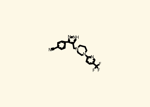 N#Cc1ccc(-c2n[nH]cc2CN2CCCN(c3ccc(C(F)(F)F)cn3)CC2)cc1